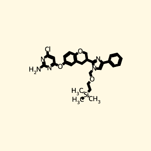 C[Si](C)(C)CCOCn1cc(-c2ccccc2)nc1C1COc2ccc(Oc3cc(Cl)nc(N)n3)cc2C1